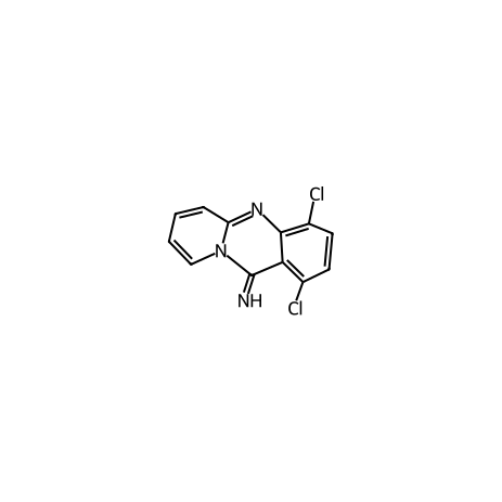 N=c1c2c(Cl)ccc(Cl)c2nc2ccccn12